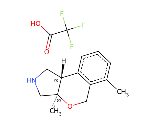 Cc1cccc2c1CO[C@@]1(C)CNC[C@H]21.O=C(O)C(F)(F)F